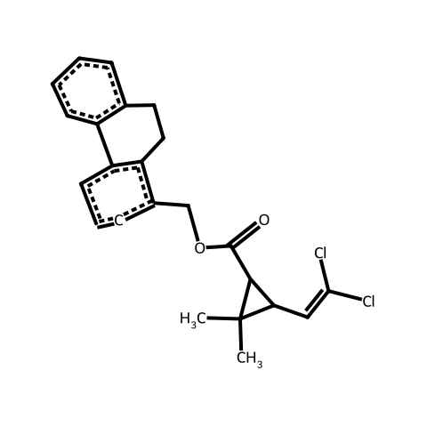 CC1(C)C(C=C(Cl)Cl)C1C(=O)OCc1cccc2c1CCc1ccccc1-2